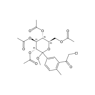 COC1(c2ccc(C)c(C(=O)CCl)c2)O[C@H](COC(C)=O)[C@@H](OC(C)=O)[C@H](OC(C)=O)[C@H]1OC(C)=O